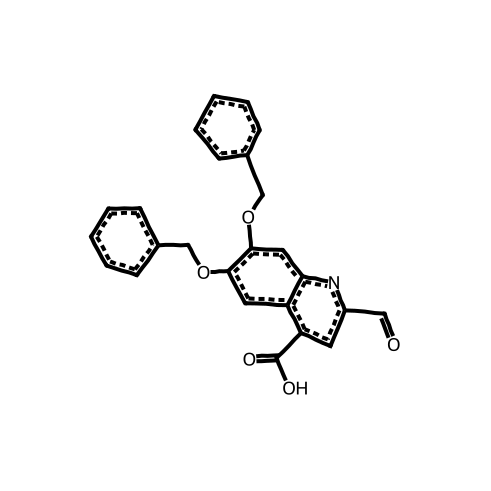 O=Cc1cc(C(=O)O)c2cc(OCc3ccccc3)c(OCc3ccccc3)cc2n1